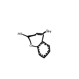 SC1=CC(S)Oc2ccccc21